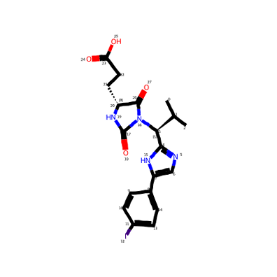 CC(C)[C@@H](c1ncc(-c2ccc(I)cc2)[nH]1)N1C(=O)N[C@H](CCC(=O)O)C1=O